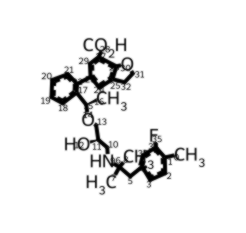 Cc1ccc(CC(C)(C)NC[C@@H](O)CO[C@H](C)c2ccccc2-c2cc3c(c(C(=O)O)c2)OCC3)cc1F